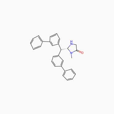 CN1C(=O)CN[C@H]1C(c1cccc(-c2ccccc2)c1)c1cccc(-c2ccccc2)c1